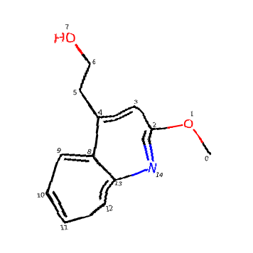 COc1cc(CCO)c2ccccc2n1